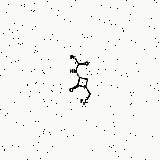 CC(C)C(=O)N[C@@H]1CN(CC(F)(F)F)C1=O